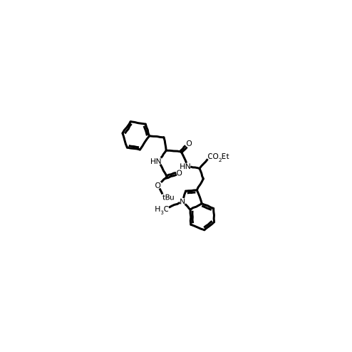 CCOC(=O)C(Cc1cn(C)c2ccccc12)NC(=O)C(Cc1ccccc1)NC(=O)OC(C)(C)C